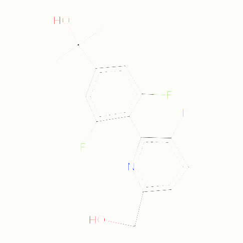 CC(C)(O)c1cc(F)c(-c2nc(CO)ccc2F)c(F)c1